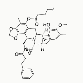 COc1c(C)cc2c(c1O)[C@@H]1C3Cc4c(OC(=O)CCCI)c(C)c5c(c4[C@H](CNC(=O)CCc4ccccc4)N3[C@@H](C#N)[C@H](C2)N1C)OCO5